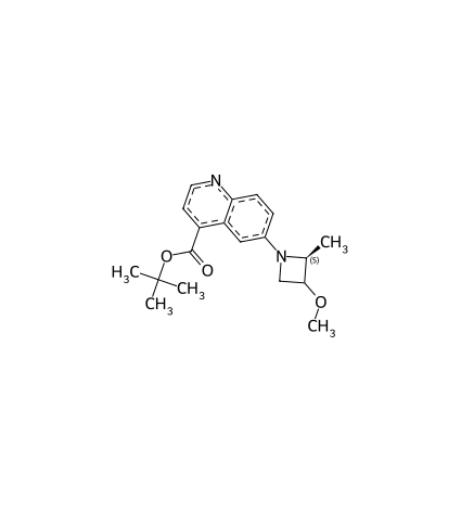 COC1CN(c2ccc3nccc(C(=O)OC(C)(C)C)c3c2)[C@H]1C